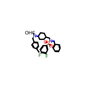 Cc1ccc(CN(C=O)C2CCC(CN(Cc3ccccc3)S(=O)(=O)c3ccc(F)c(F)c3)CC2)cc1